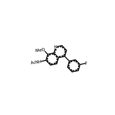 COc1c(NC(C)=O)ccc2c(-c3cccc(F)c3)ccnc12